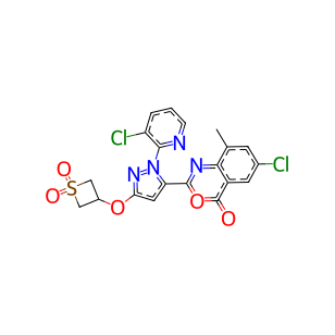 Cc1cc(Cl)cc2c(=O)oc(-c3cc(OC4CS(=O)(=O)C4)nn3-c3ncccc3Cl)nc12